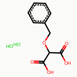 Cl.Cl.O=C(O)C(OCc1ccccc1)C(=O)O